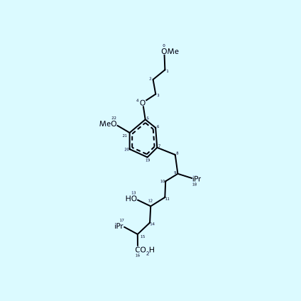 COCCCOc1cc(CC(CCC(O)CC(C(=O)O)C(C)C)C(C)C)ccc1OC